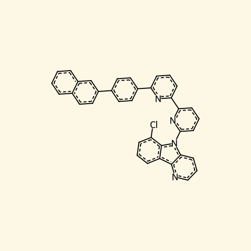 Clc1cccc2c3ncccc3n(-c3cccc(-c4cccc(-c5ccc(-c6ccc7ccccc7c6)cc5)n4)n3)c12